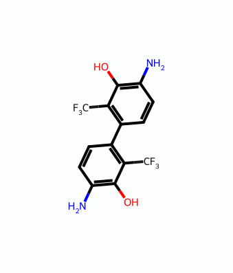 Nc1ccc(-c2ccc(N)c(O)c2C(F)(F)F)c(C(F)(F)F)c1O